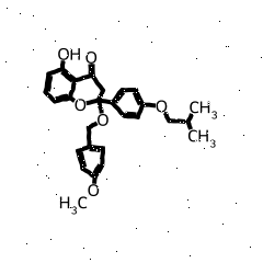 COc1ccc(COC2(c3ccc(OCC(C)C)cc3)CC(=O)c3c(O)cccc3O2)cc1